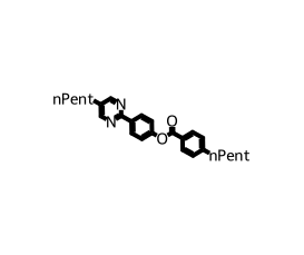 CCCCCc1ccc(C(=O)Oc2ccc(-c3ncc(CCCCC)cn3)cc2)cc1